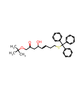 CC(C)(C)OCC(=O)CC(O)C=CCCSC(c1ccccc1)(c1ccccc1)c1ccccc1